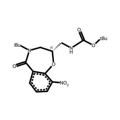 CCC(C)N1C[C@H](CNC(=O)OC(C)(C)C)Oc2c(cccc2[N+](=O)[O-])C1=O